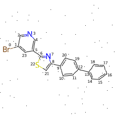 Brc1cncc(-c2nc(-c3ccc(-c4ccccc4)cc3)cs2)c1